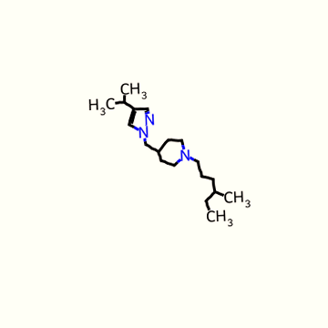 CCC(C)CCCN1CCC(Cn2cc(C(C)C)cn2)CC1